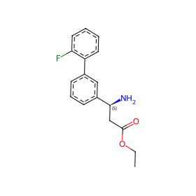 CCOC(=O)C[C@H](N)c1cccc(-c2ccccc2F)c1